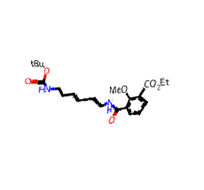 CCOC(=O)c1cccc(C(=O)NCCCCCCNC(=O)OC(C)(C)C)c1OC